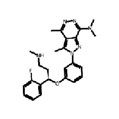 CNCC[C@@H](Oc1cccc(-n2nc3c(N(C)C)nnc(C)c3c2C)c1)c1ccccc1F